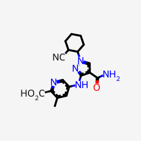 Cc1cc(Nc2nn(C3CCCCC3C#N)cc2C(N)=O)cnc1C(=O)O